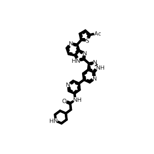 CC(=O)c1ccc(-c2nccc3[nH]c(-c4n[nH]c5ncc(-c6cncc(NC(=O)CC7CCNCC7)c6)cc45)nc23)s1